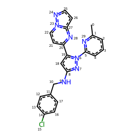 Cc1cccc(-n2nc(NCc3ccc(Cl)cc3)cc2-c2ccn3nccc3n2)n1